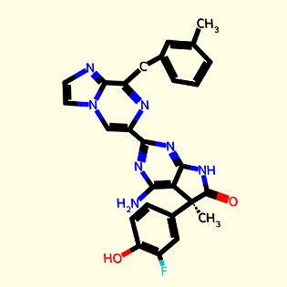 Cc1cccc(Cc2nc(-c3nc(N)c4c(n3)NC(=O)[C@@]4(C)c3ccc(O)c(F)c3)cn3ccnc23)c1